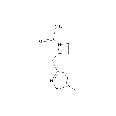 Cc1cc(CC2CCN2C(N)=O)no1